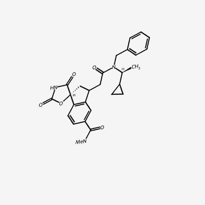 CNC(=O)c1ccc2c(c1)C(CC(=O)N(Cc1ccccc1)[C@@H](C)C1CC1)C[C@@]21OC(=O)NC1=O